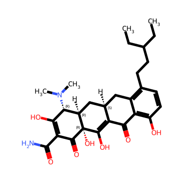 CCC(CC)CCc1ccc(O)c2c1C[C@@H]1C[C@@H]3[C@@H](N(C)C)C(O)=C(C(N)=O)C(=O)[C@]3(O)C(O)=C1C2=O